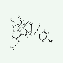 COc1ccc2c3c1O[C@H]1[C@@H](OC(=O)c4ccc(O)cc4)C=C[C@H]4[C@@H](C2)N(C)CC[C@@]341